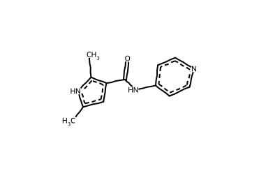 Cc1cc(C(=O)Nc2ccncc2)c(C)[nH]1